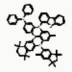 Cc1cc2c3c(c1)N(c1cccc4c1sc1ccccc14)c1cc(N(c4ccccc4)c4ccccc4)ccc1B3c1cc3c(cc1N2c1cc2c(cc1C)C(C)(C)CC2(C)C)C(C)(C)CCC3(C)C